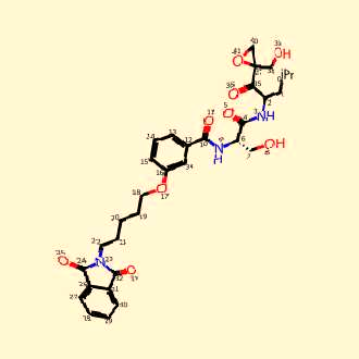 CC(C)CC(NC(=O)[C@H](CO)NC(=O)c1cccc(OCCCCCN2C(=O)c3ccccc3C2=O)c1)C(=O)C1(CO)CO1